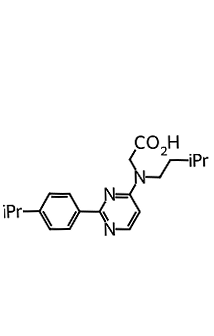 CC(C)CCN(CC(=O)O)c1ccnc(-c2ccc(C(C)C)cc2)n1